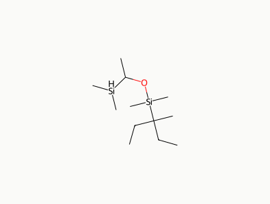 CCC(C)(CC)[Si](C)(C)OC(C)[SiH](C)C